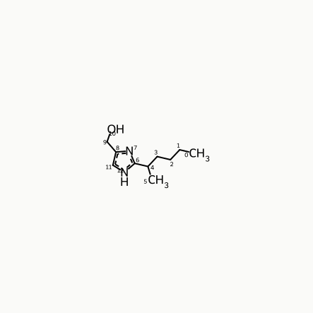 CCCCC(C)c1nc(CO)c[nH]1